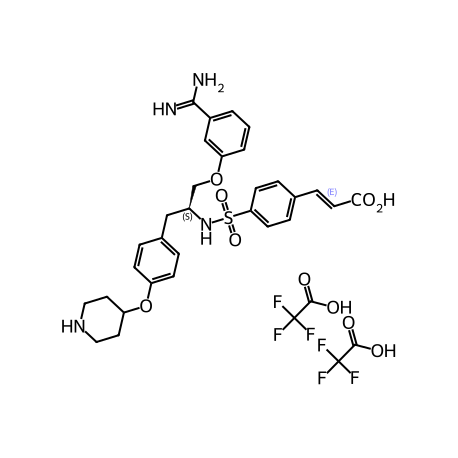 N=C(N)c1cccc(OC[C@H](Cc2ccc(OC3CCNCC3)cc2)NS(=O)(=O)c2ccc(/C=C/C(=O)O)cc2)c1.O=C(O)C(F)(F)F.O=C(O)C(F)(F)F